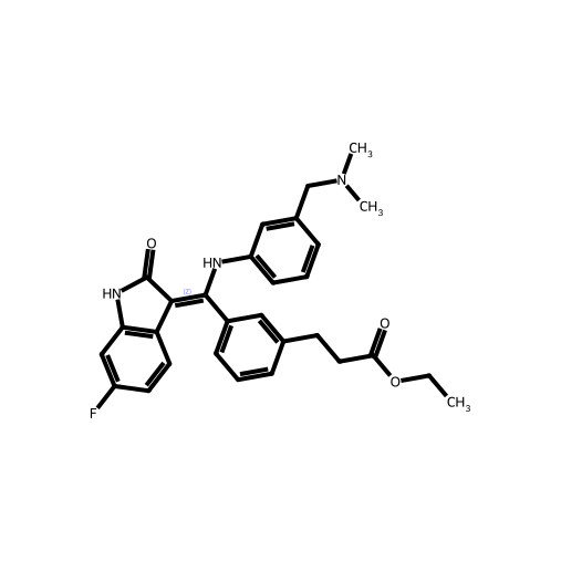 CCOC(=O)CCc1cccc(/C(Nc2cccc(CN(C)C)c2)=C2/C(=O)Nc3cc(F)ccc32)c1